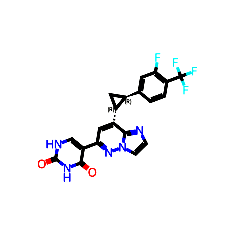 O=c1[nH]cc(-c2cc([C@@H]3C[C@H]3c3ccc(C(F)(F)F)c(F)c3)c3nccn3n2)c(=O)[nH]1